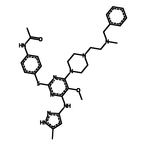 COc1c(Nc2cc(C)[nH]n2)nc(Sc2ccc(NC(C)=O)cc2)nc1N1CCN(CCN(C)Cc2ccccc2)CC1